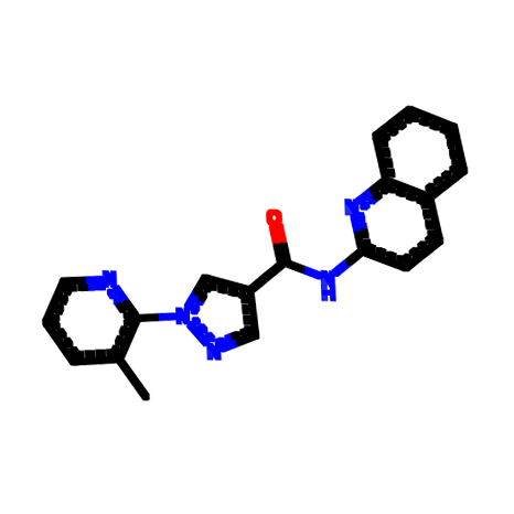 Cc1cccnc1-n1cc(C(=O)Nc2ccc3ccccc3n2)cn1